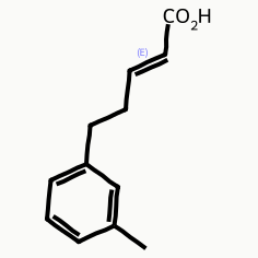 Cc1cccc(CC/C=C/C(=O)O)c1